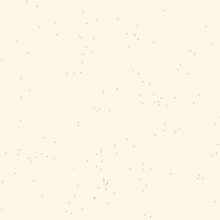 CN1CCC(Oc2cccc3c2CCC3Oc2ccc(B3OC(=O)CN(C)CC(=O)O3)cc2)CC1